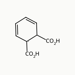 O=C(O)[C]1C=CC=CC1C(=O)O